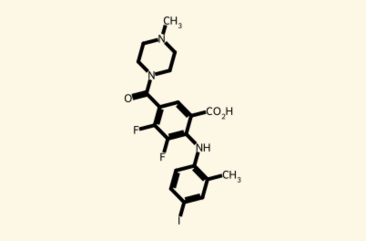 Cc1cc(I)ccc1Nc1c(C(=O)O)cc(C(=O)N2CCN(C)CC2)c(F)c1F